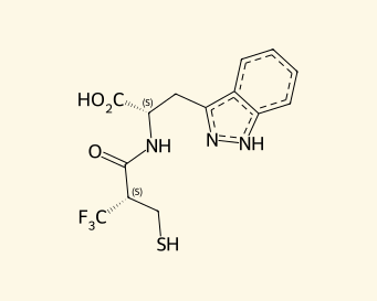 O=C(O)[C@H](Cc1n[nH]c2ccccc12)NC(=O)[C@H](CS)C(F)(F)F